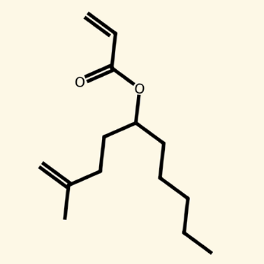 C=CC(=O)OC(CCCCC)CCC(=C)C